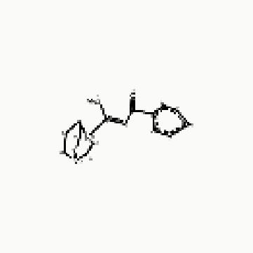 CSC(=CC(=O)c1ccccc1)N1CCN2CCC1CC2